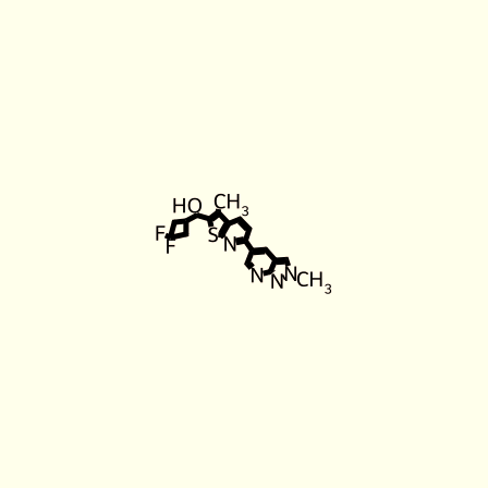 Cc1c(C(O)C2CC(F)(F)C2)sc2nc(-c3cnc4nn(C)cc4c3)ccc12